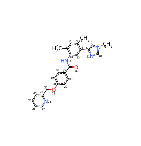 Cc1cc(C)c(-c2cn(C)cn2)cc1NC(=O)c1ccc(OCc2ccccn2)cc1